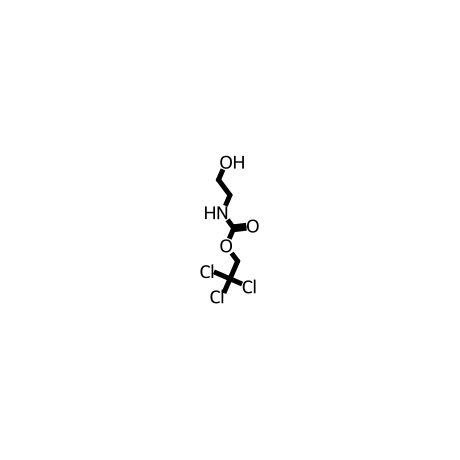 O=C(NCCO)OCC(Cl)(Cl)Cl